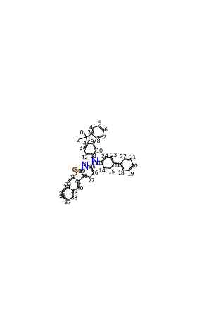 CC1(C)c2ccccc2-c2cc(N(c3ccc(-c4ccccc4)cc3)c3ccc4c(n3)sc3cc5ccccc5cc34)ccc21